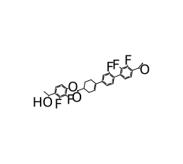 CC(O)c1ccc(OC(=O)C2CC=C(c3ccc(-c4ccc(C5CO5)c(F)c4F)c(F)c3)CC2)c(F)c1F